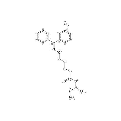 CC(OC(=O)CCCCO/N=C(/c1ccccc1)c1cccc(C(F)(F)F)c1)O[N+](=O)[O-]